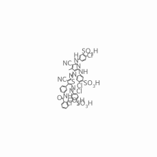 Cc1c(C#N)c(Nc2ccc(Cl)c(S(=O)(=O)O)c2)nc(Nc2ccc(Cl)c(S(=O)(=O)O)c2)c1N=Nc1sc(N=Nc2cc(Cl)c(S(=O)(=O)O)cc2Cl)c(-c2cccc(NC(=O)c3ccccc3C(=O)O)c2)c1C#N